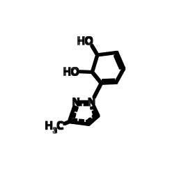 Cc1ccn(C2=CC=CC(O)C2O)n1